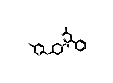 CC(=O)CC(c1ccccc1)S(=O)(=O)N1CCC(Oc2ccc(Cl)cn2)CC1